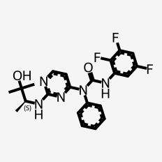 C[C@H](Nc1nccc(N(C(=O)Nc2cc(F)cc(F)c2F)c2ccccc2)n1)C(C)(C)O